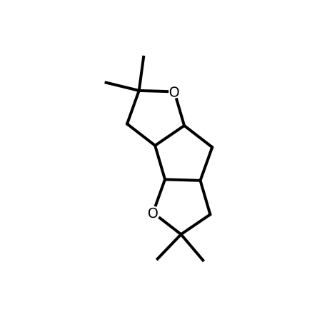 CC1(C)CC2C(CC3CC(C)(C)OC32)O1